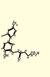 Cc1cc(C(F)(F)F)ccc1-c1ccc(O)c(CCC(=O)CCC(=O)O)n1